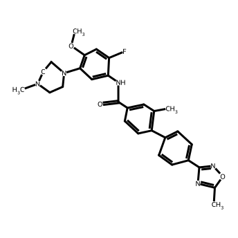 COc1cc(F)c(NC(=O)c2ccc(-c3ccc(-c4noc(C)n4)cc3)c(C)c2)cc1N1CCN(C)CC1